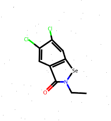 CCn1[se]c2cc(Cl)c(Cl)cc2c1=O